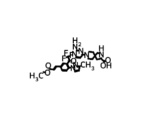 CCOC(=O)C=Cc1ccc(-n2ccc(C)n2)c([C@@H](Oc2cc(N3CCC4(CC3)CNC(C(=O)O)C4)nc(N)n2)C(F)(F)F)c1